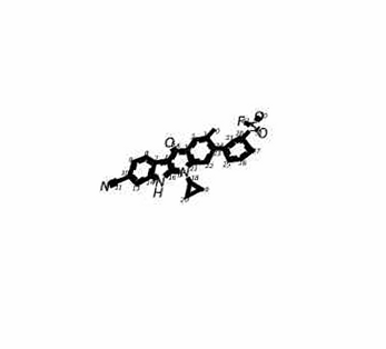 Cc1cc2c(=O)c3c4ccc(C#N)cc4[nH]c3n(C3CC3)c2cc1-c1cccc(S(=O)(=O)F)c1